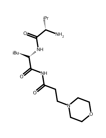 CC[C@H](C)[C@H](NC(=O)[C@@H](N)C(C)C)C(=O)NC(=O)CCN1CCOCC1